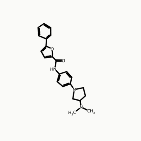 CN(C)C1CCN(c2ccc(NC(=O)c3ccc(-c4ccccc4)o3)cc2)C1